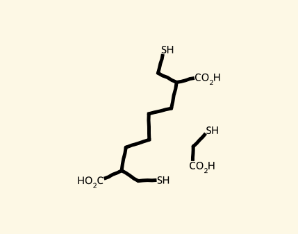 O=C(O)C(CS)CCCCC(CS)C(=O)O.O=C(O)CS